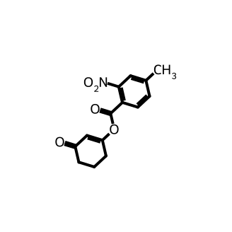 Cc1ccc(C(=O)OC2=CC(=O)CCC2)c([N+](=O)[O-])c1